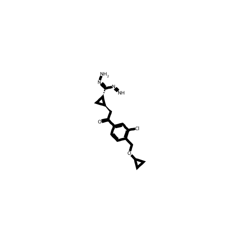 N=N/C(=N\N)[C@H]1C[C@@H]1CC(=O)c1ccc(COC2CC2)c(Cl)c1